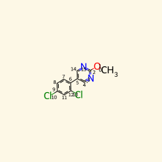 COc1n[c]c(-c2ccc(Cl)cc2Cl)cn1